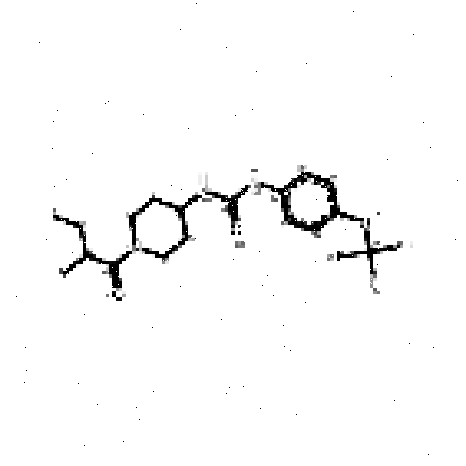 CCC(C)C(=O)N1CCC(NC(=O)Nc2ccc(OC(F)(F)F)cc2)CC1